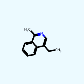 CCc1cnc(C)c2ccccc12